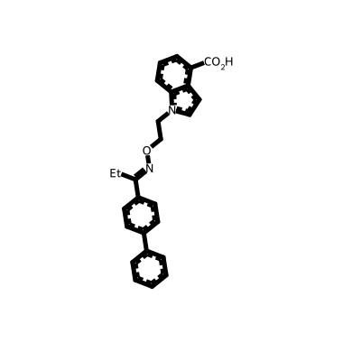 CC/C(=N\OCCn1ccc2c(C(=O)O)cccc21)c1ccc(-c2ccccc2)cc1